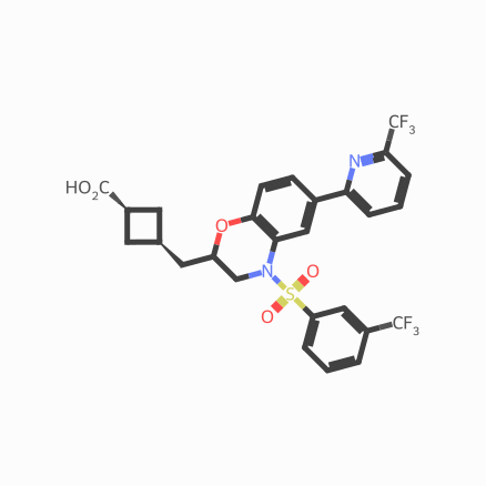 O=C(O)[C@H]1C[C@@H](CC2CN(S(=O)(=O)c3cccc(C(F)(F)F)c3)c3cc(-c4cccc(C(F)(F)F)n4)ccc3O2)C1